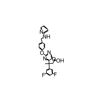 CC(CC(=O)O)(c1cc(F)cc(F)c1)c1ccnc(Oc2ccc(CNc3ccccn3)cc2)n1